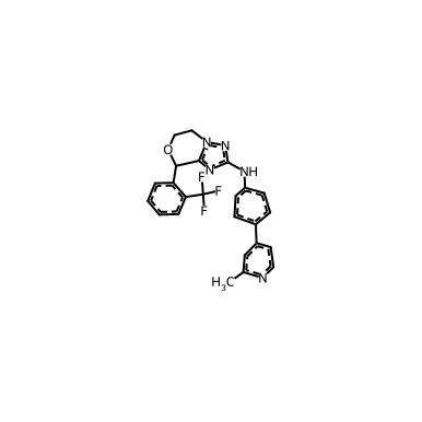 Cc1cc(-c2ccc(Nc3nc4n(n3)CCOC4c3ccccc3C(F)(F)F)cc2)ccn1